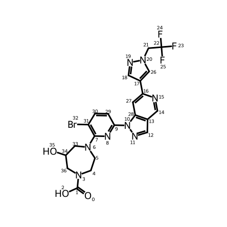 O=C(O)N1CCN(c2nc(-n3ncc4cnc(-c5cnn(CC(F)(F)F)c5)cc43)ccc2Br)CC(O)C1